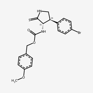 COc1ccc(COC(=O)N[C@@H]2C(=S)NC[C@H]2c2ccc(Br)cc2)cc1